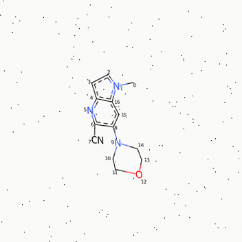 Cn1ccc2nc(C#N)c(N3CCOCC3)cc21